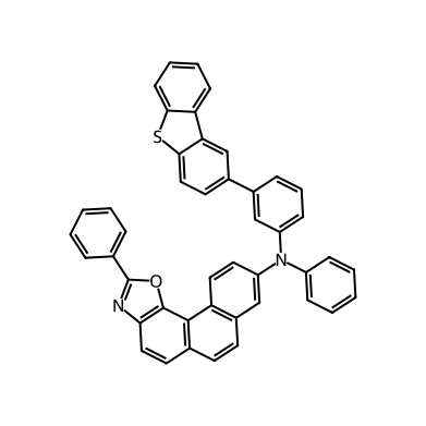 c1ccc(-c2nc3ccc4ccc5cc(N(c6ccccc6)c6cccc(-c7ccc8sc9ccccc9c8c7)c6)ccc5c4c3o2)cc1